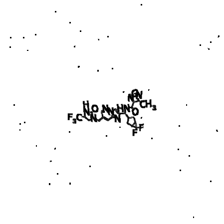 Cc1nonc1C(=O)NC(c1cn2ncc(CN3CC(C(F)(F)F)NC3=O)cc2n1)C1CC2C(C1)C2(F)F